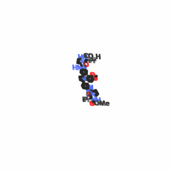 COC(=O)N[C@H](C(=O)N1CCC[C@H]1c1nc2cc(C3CC[C@H](c4ccc5nc([C@@H]6CCCN6C(=O)[C@@H](NC(=O)O)C(C)C)[nH]c5c4)N3c3ccc4c(c3)OCO4)ccc2[nH]1)C(C)C